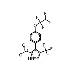 O=[N+]([O-])c1[nH]cc(C(F)(F)F)c1-c1ccc(OC(F)(F)C(F)F)cc1